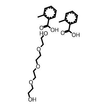 Cc1ccccc1C(=O)O.Cc1ccccc1C(=O)O.OCCOCCOCCOCCO